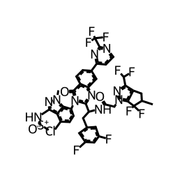 CC1Cc2c(C(F)F)nn(CC(=O)NC(Cc3cc(F)cc(F)c3)c3nc4cc(-c5ccnc(C(F)(F)F)n5)ccc4c(=O)n3-c3ccc(Cl)c4c(N[S+](C)[O-])nn(C)c34)c2C1(F)F